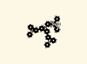 c1ccc(C2NC(c3cccc(-n4c5ccc(-c6ccc7c(c6)c6ccccc6n7-c6ccccc6)cc5c5cc(-c6ccc7c(c6)c6ccccc6n7-c6ccccc6)ccc54)c3)NC(c3ccccn3)N2)cc1